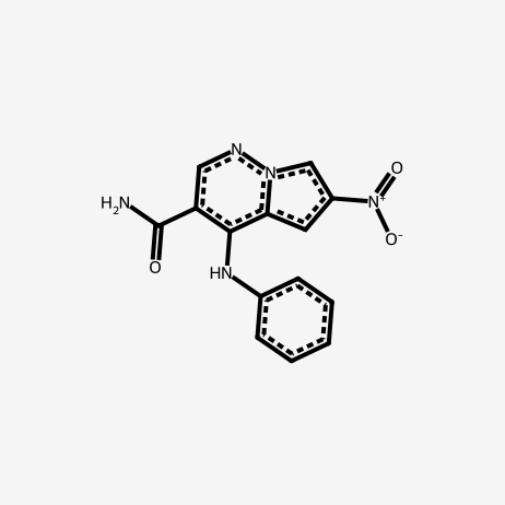 NC(=O)c1cnn2cc([N+](=O)[O-])cc2c1Nc1ccccc1